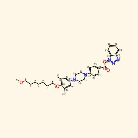 COCCCCCCCOc1c(C)cc(N2CCN(c3ccc(C(=O)On4nnc5ccccc54)cc3)CC2)cc1C